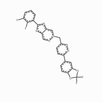 Fc1cccc(-c2nc3cnn(Cc4ccc(-c5ccc6c(c5)OC(F)(F)O6)nn4)cc-3n2)c1F